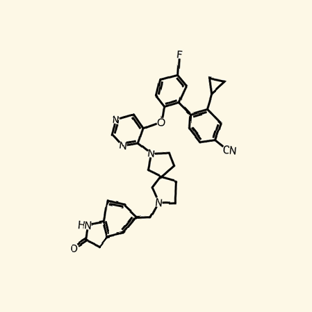 N#Cc1ccc(-c2cc(F)ccc2Oc2cncnc2N2CCC3(CCN(Cc4ccc5c(c4)CC(=O)N5)C3)C2)c(C2CC2)c1